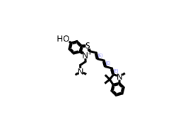 CN(C)CC[n+]1c(/C=C/C=C/C=C2/N(C)c3ccccc3C2(C)C)sc2cc(O)ccc21